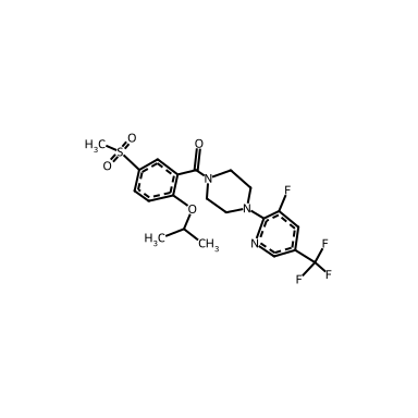 CC(C)Oc1ccc(S(C)(=O)=O)cc1C(=O)N1CCN(c2ncc(C(F)(F)F)cc2F)CC1